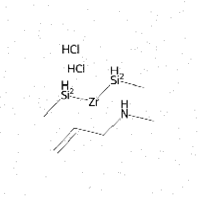 C=CCNC.C[SiH2][Zr][SiH2]C.Cl.Cl